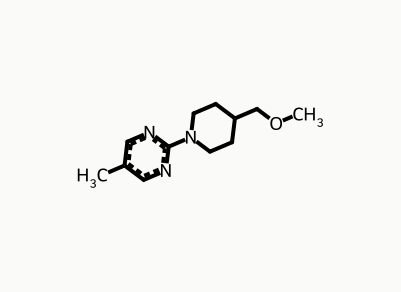 COCC1CCN(c2ncc(C)cn2)CC1